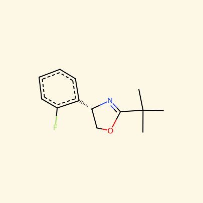 CC(C)(C)C1=N[C@@H](c2ccccc2F)CO1